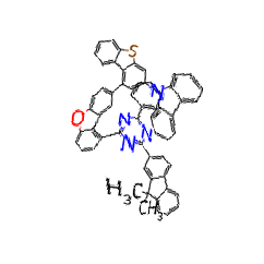 CC1(C)c2ccccc2-c2ccc(-c3nc(-c4ccccc4)nc(-c4cccc5oc6ccc(-c7cc(-n8c9ccccc9c9ccccc98)cc8sc9ccccc9c78)cc6c45)n3)cc21